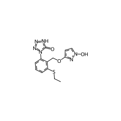 CCSc1cccc(-n2nn[nH]c2=O)c1COc1ccn(O)n1